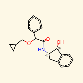 O=C(N[C@H]1Cc2ccccc2[C@H]1O)C(OCC1CC1)c1ccccc1